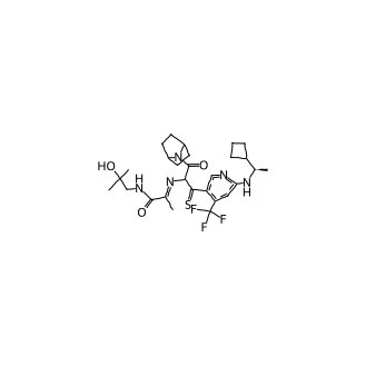 C/C(=N\C(C(=O)N1C2CCC1CC2)C(=S)c1cnc(N[C@H](C)C2CCC2)cc1C(F)(F)F)C(=O)NCC(C)(C)O